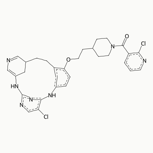 O=C(c1cccnc1Cl)N1CCC(CCOc2ccc3cc2CCC2C=NC=C(C2)Nc2ncc(Cl)c(n2)N3)CC1